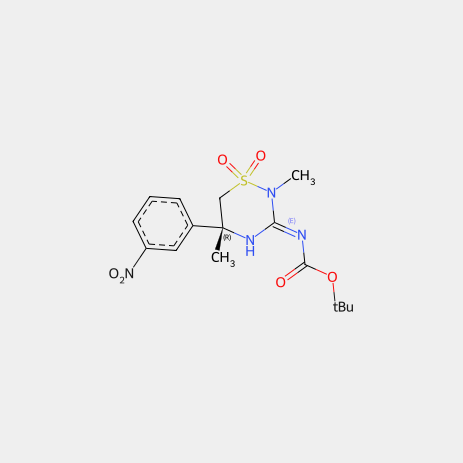 CN1/C(=N/C(=O)OC(C)(C)C)N[C@](C)(c2cccc([N+](=O)[O-])c2)CS1(=O)=O